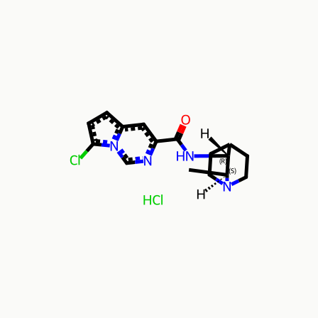 C[C@H]1[C@H](NC(=O)c2cc3ccc(Cl)n3cn2)C2CCN1CC2.Cl